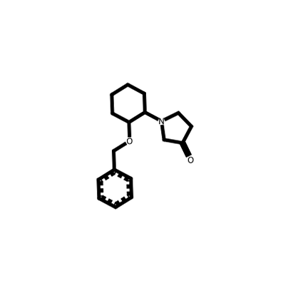 O=C1CCN(C2CCCCC2OCc2ccccc2)C1